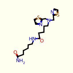 NC(=O)CCCCCNC(=O)CCCCN(Cc1nccs1)Cc1nccs1